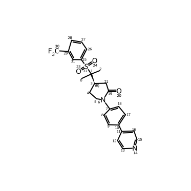 CC(C)([C@@H]1CCN(c2ccc(-c3ccncc3)cc2)C(=O)C1)S(=O)(=O)c1cccc(C(F)(F)F)c1